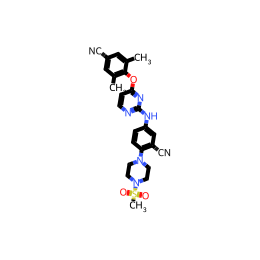 Cc1cc(C#N)cc(C)c1Oc1ccnc(Nc2ccc(N3CCN(S(C)(=O)=O)CC3)c(C#N)c2)n1